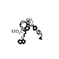 CCOC(=O)c1c(CCCOc2cccc3ccccc23)c2cccc3c2n1CCCCOCc1c-3c(COc2ccc(N3CCN(SC4CC4)CC3)cc2)nn1C